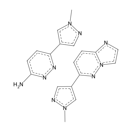 Cn1cc(-c2ccc(N)nn2)cn1.Cn1cc(-c2ccc3nccn3n2)cn1